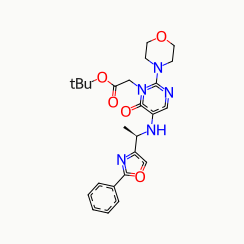 C[C@@H](Nc1cnc(N2CCOCC2)n(CC(=O)OC(C)(C)C)c1=O)c1coc(-c2ccccc2)n1